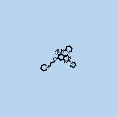 COc1cc2c(N3CCCCC3N)nc(N3CCCC3)nc2cc1OCCCN1CCCCC1